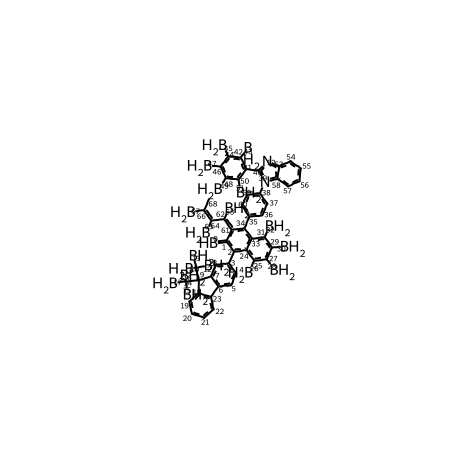 B=c1c(-c2ccc3c(c2)C(C(B)(B)B)(C(B)(B)B)c2ccccc2-3)c2c(B)c(B)c(B)c(B)c2c(-c2ccc(-n3c(-c4c(B)c(B)c(B)c(B)c4B)nc4ccccc43)cc2)/c1=C(B)/C(B)=C(/B)C